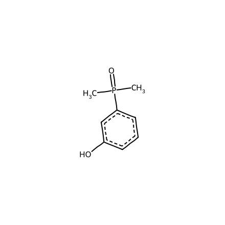 CP(C)(=O)c1cccc(O)c1